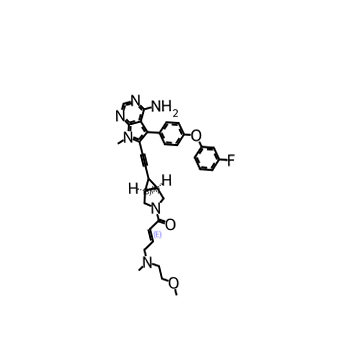 COCCN(C)C/C=C/C(=O)N1C[C@@H]2C(C#Cc3c(-c4ccc(Oc5cccc(F)c5)cc4)c4c(N)ncnc4n3C)[C@@H]2C1